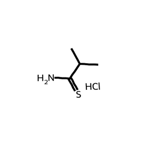 CC(C)C(N)=S.Cl